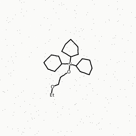 CCOCCO[Si](C1CCCCC1)(C1CCCCC1)C1CCCCC1